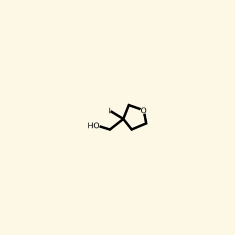 OCC1(I)CCOC1